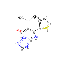 CC(C)c1c(-c2cccs2)[nH]c2ncnn2c1=O